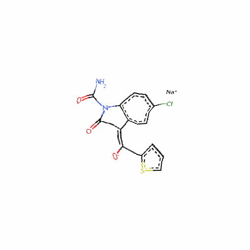 NC(=O)N1C(=O)/C(=C(\[O-])c2cccs2)c2cc(Cl)ccc21.[Na+]